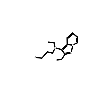 CCc1nn2ccccc2c1N(CC)CCCF